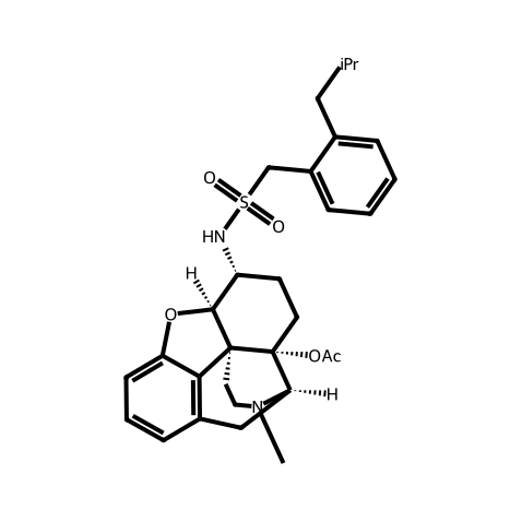 CC(=O)O[C@@]12CC[C@@H](NS(=O)(=O)Cc3ccccc3CC(C)C)[C@@H]3Oc4cccc5c4[C@@]31CCN(C)[C@@H]2C5